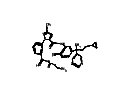 CCOC(=O)NC(=N)c1cccc(-n2nc(C)cc2C(=O)Nc2cc(C(N)(CCC3CC3)c3cccnc3)ccc2F)c1